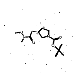 CON(C)C(=O)C[C@@H]1CN(C(=O)OC(C)(C)C)C[C@H]1C